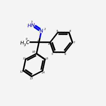 CC(N=N)(c1ccccc1)c1ccccc1